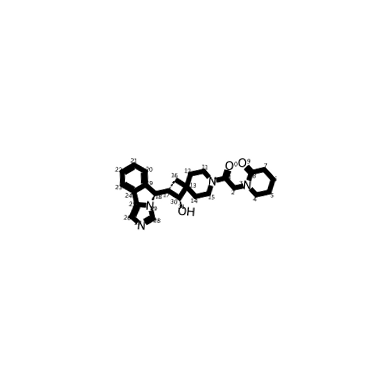 O=C(CN1CCCCC1=O)N1CCC2(CC1)C[C@@H]([C@H]1c3ccccc3-c3cncn31)[C@H]2O